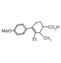 CCC1=C(c2ccc(OC)cc2)CCC(C(=O)O)C1C